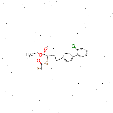 CCOC(=O)C(CCc1ccc(-c2ccccc2Cl)cc1)SC(=O)C=S